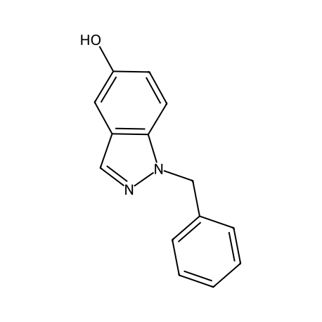 Oc1ccc2c(cnn2Cc2ccccc2)c1